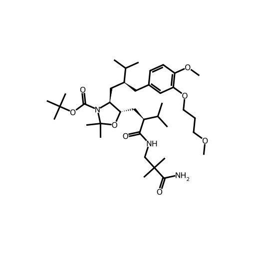 COCCCOc1cc(C[C@@H](C[C@H]2[C@H](C[C@H](C(=O)NCC(C)(C)C(N)=O)C(C)C)OC(C)(C)N2C(=O)OC(C)(C)C)C(C)C)ccc1OC